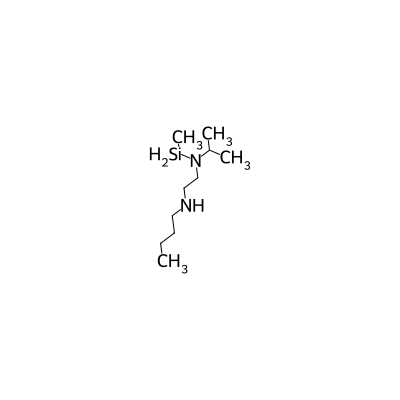 CCCCNCCN([SiH2]C)C(C)C